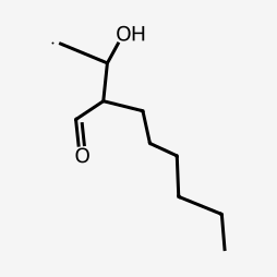 [CH2]C(O)C(C=O)CCCCCC